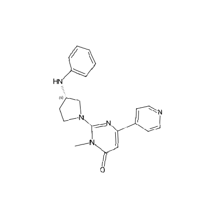 Cn1c(N2CC[C@H](Nc3ccccc3)C2)nc(-c2ccncc2)cc1=O